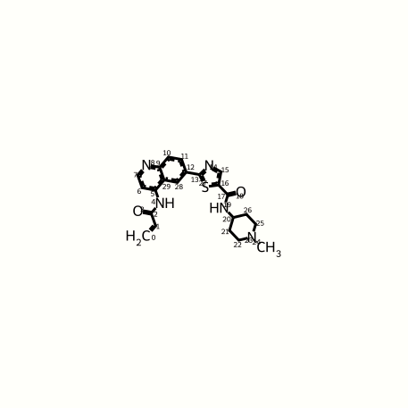 C=CC(=O)Nc1ccnc2ccc(-c3ncc(C(=O)NC4CCN(C)CC4)s3)cc12